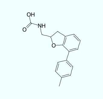 Cc1ccc(-c2cccc3c2OC(CNC(=O)O)C3)cc1